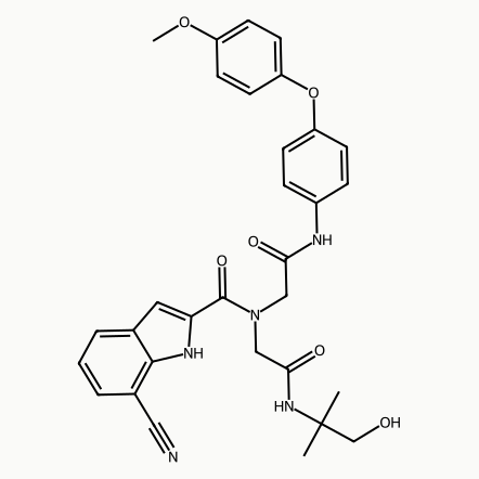 COc1ccc(Oc2ccc(NC(=O)CN(CC(=O)NC(C)(C)CO)C(=O)c3cc4cccc(C#N)c4[nH]3)cc2)cc1